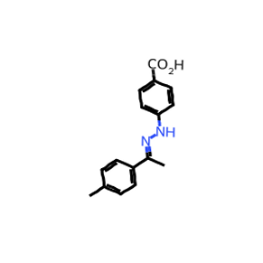 C/C(=N\Nc1ccc(C(=O)O)cc1)c1ccc(C)cc1